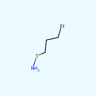 CCCCCSN